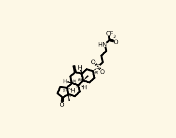 C=C1C[C@@H]2[C@H](CC[C@]3(C)C(=O)CC[C@@H]23)[C@@]2(C)CC[C@@H](S(=O)(=O)CCCNC(=O)C(F)(F)F)C[C@@H]12